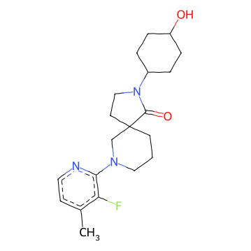 Cc1ccnc(N2CCCC3(CCN(C4CCC(O)CC4)C3=O)C2)c1F